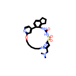 CN(C)Cc1cc2nn1CCCCCOc1cc(ccn1)-c1ccc3c(c1NC(=O)NS2(=O)=O)CCC3